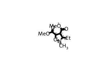 CCC1C(C(=O)OC)C(C(=O)OC)ON1C